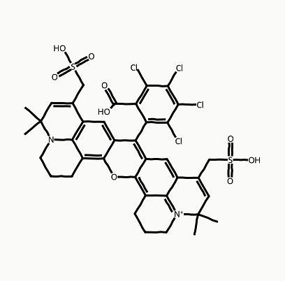 CC1(C)C=C(CS(=O)(=O)O)c2cc3c(c4c2N1CCC4)Oc1c2c4c(cc1=C3c1c(Cl)c(Cl)c(Cl)c(Cl)c1C(=O)O)C(CS(=O)(=O)O)=CC(C)(C)[N+]=4CCC2